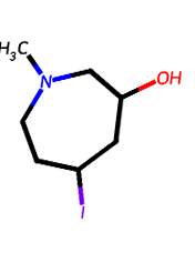 CN1CCC(I)CC(O)C1